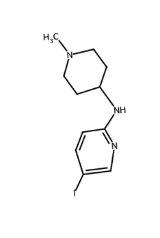 CN1CCC(Nc2ccc(I)cn2)CC1